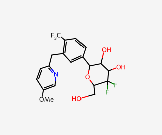 COc1ccc(Cc2cc(C3OC(CO)C(F)(F)C(O)C3O)ccc2C(F)(F)F)nc1